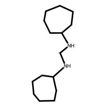 [CH](NC1CCCCCC1)NC1CCCCCC1